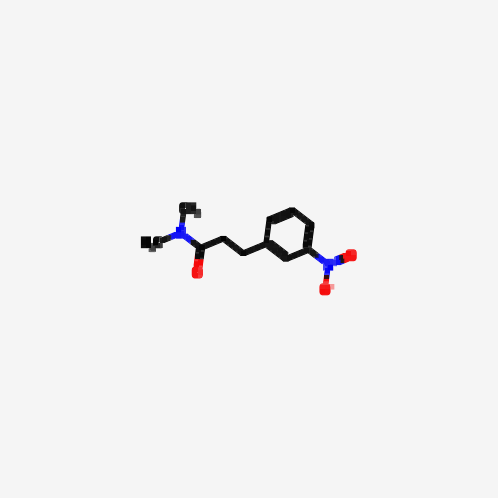 CN(C)C(=O)CCc1cccc([N+](=O)[O-])c1